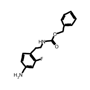 Nc1ccc(CCNC(=O)OCc2ccccc2)c(F)c1